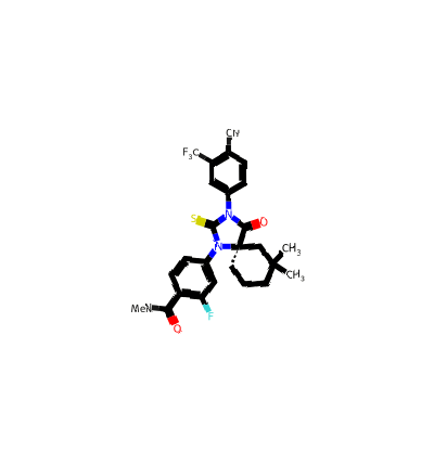 CNC(=O)c1ccc(N2C(=S)N(c3ccc(C#N)c(C(F)(F)F)c3)C(=O)[C@]23CCCC(C)(C)C3)cc1F